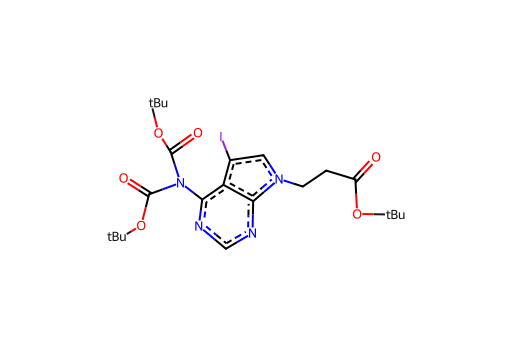 CC(C)(C)OC(=O)CCn1cc(I)c2c(N(C(=O)OC(C)(C)C)C(=O)OC(C)(C)C)ncnc21